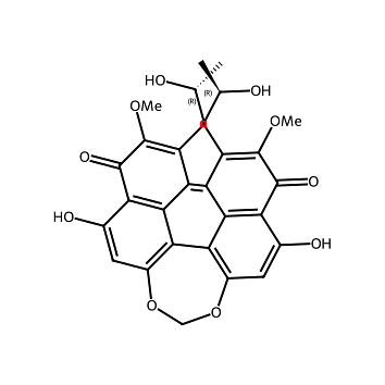 COc1c(C[C@@H](C)O)c2c3c(C[C@@H](C)O)c(OC)c(=O)c4c(O)cc5c(c6c(cc(O)c(c1=O)c62)OCO5)c43